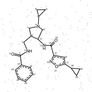 O=C(NCC1CN(C2CC2)CC1NC(=O)c1cc(C2CC2)on1)c1ccccc1